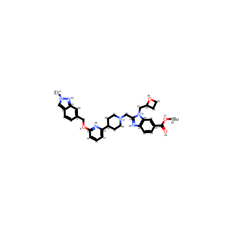 CCn1cc2ccc(COc3cccc(C4CCN(Cc5nc6ccc(C(=O)OC(C)(C)C)cc6n5CC5CCO5)CC4)n3)cc2n1